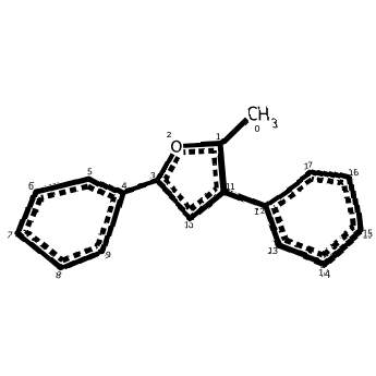 Cc1oc(-c2ccccc2)cc1-c1ccccc1